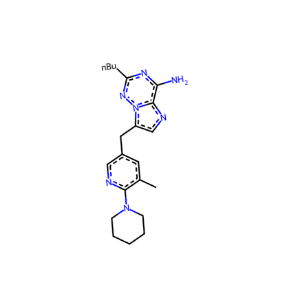 CCCCc1nc(N)c2ncc(Cc3cnc(N4CCCCC4)c(C)c3)n2n1